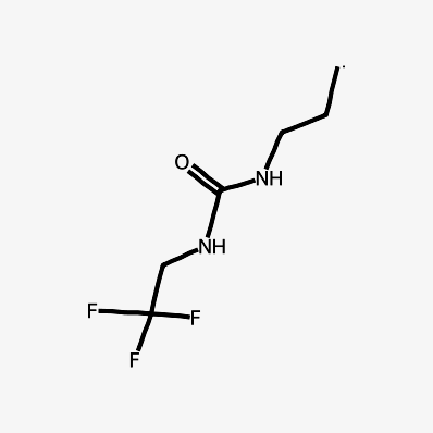 [CH2]CCNC(=O)NCC(F)(F)F